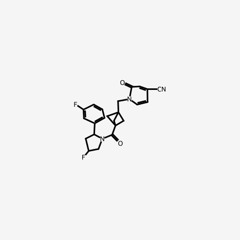 N#Cc1ccn(CC23CC(C(=O)N4CC(F)CC4c4cccc(F)c4)(C2)C3)c(=O)c1